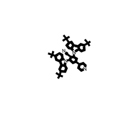 CC(C)(C)c1ccc2c(c1)c1cc(C(C)(C)C)ccc1n2-c1cc(-c2ccncc2)cc(-n2c3ccc(C(C)(C)C)cc3c3cc(C(C)(C)C)ccc32)c1C#N